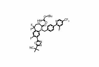 CC(C)(C)OC(=O)N[C@H]1CC(F)(F)c2cc(F)c(-c3nnc(C(C)(C)C#N)o3)cc2N(Cc2ccc(-c3ncc(C(F)(F)F)cc3F)cc2)C1=O